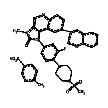 Cc1ccc(S(=O)(=O)O)cc1.Cn1c(=O)n(-c2ccc(N3CCN(S(C)(=O)=O)CC3)c(F)c2)c2c3cc(-c4cnc5ccccc5c4)ccc3ncc21